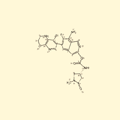 CCc1c(-c2cc3cc(OC(=O)N[C@@H]4CC(=O)N(C)C4)ncc3c(N)c2F)cnc2c1NCCO2